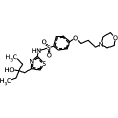 CCC(O)(CC)Cc1csc(NS(=O)(=O)c2ccc(OCCCN3CCOCC3)cc2)n1